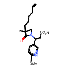 C=CCCCCC1(C)CN(C(CC(=O)O)c2ccc(OC)nc2)C1=O